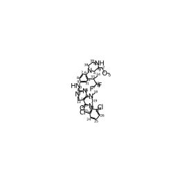 COC[C@H]1CN(c2ccc(Nc3ncc4c(n3)N(C)CN(c3c(Cl)cccc3Cl)C4=O)cc2C(C)C(F)F)CCN1